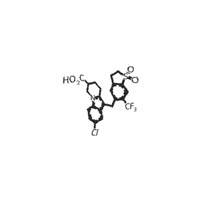 O=C(O)C1CCc2c(Cc3cc4c(cc3C(F)(F)F)S(=O)(=O)CC4)c3cc(Cl)ccc3n2C1